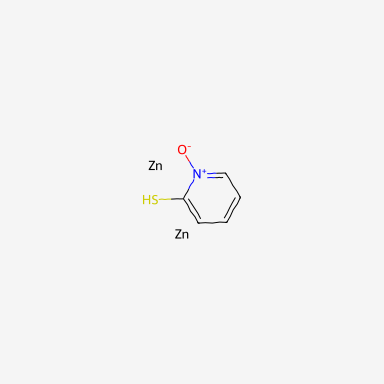 [O-][n+]1ccccc1S.[Zn].[Zn]